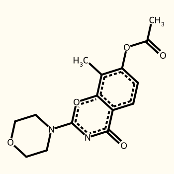 CC(=O)Oc1ccc2c(=O)nc(N3CCOCC3)oc2c1C